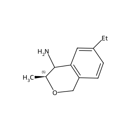 CCc1ccc2c(c1)C(N)[C@H](C)OC2